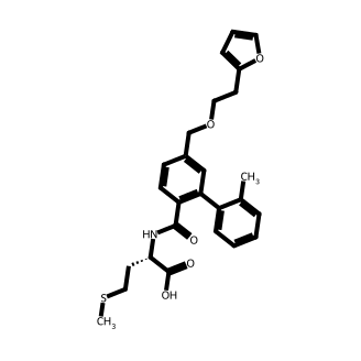 CSCC[C@H](NC(=O)c1ccc(COCCc2ccco2)cc1-c1ccccc1C)C(=O)O